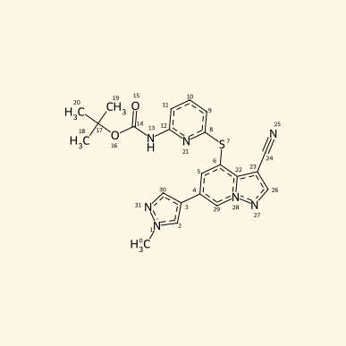 Cn1cc(-c2cc(Sc3cccc(NC(=O)OC(C)(C)C)n3)c3c(C#N)cnn3c2)cn1